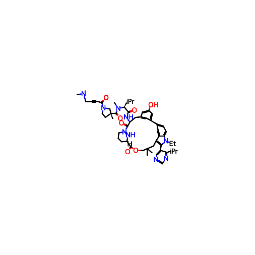 CCn1c(-c2cncnc2C(C)C)c2c3cc(ccc31)-c1cc(O)cc(c1)C[C@H](NC(=O)[C@H](C(C)C)N(C)C(=O)[C@]1(C)CCN(C(=O)C#CCN(C)C)C1)C(=O)N1CCC[C@H](N1)C(=O)OCC(C)(C)C2